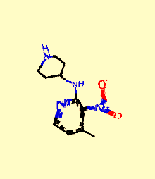 Cc1ccnc(NC2CCNCC2)c1[N+](=O)[O-]